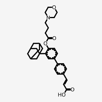 O=C(O)C=Cc1ccc(-c2ccc(OC(=O)CCCN3CCOCC3)c(C34CC5CC(CC(C5)C3)C4)c2)cc1